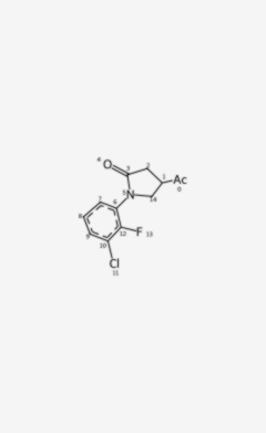 CC(=O)C1CC(=O)N(c2cccc(Cl)c2F)C1